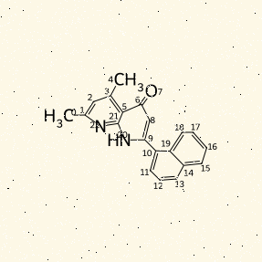 Cc1cc(C)c2c(=O)cc(-c3cccc4ccccc34)[nH]c2n1